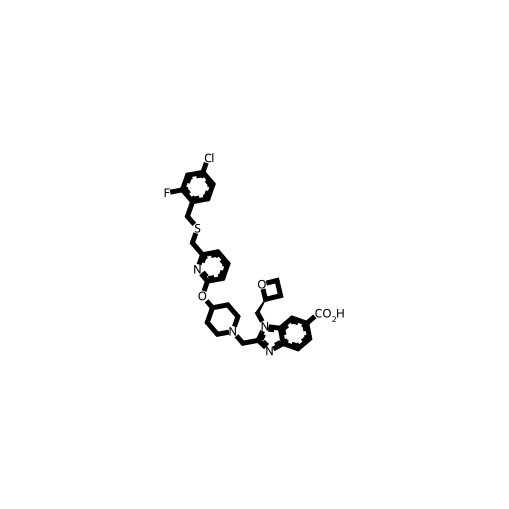 O=C(O)c1ccc2nc(CN3CCC(Oc4cccc(CSCc5ccc(Cl)cc5F)n4)CC3)n(C[C@@H]3CCO3)c2c1